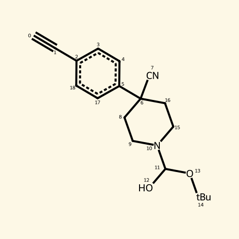 C#Cc1ccc(C2(C#N)CCN(C(O)OC(C)(C)C)CC2)cc1